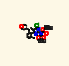 Cc1cccc(CC2CCOCC2)c1-c1nc(N(C(=O)OC(C)(C)C)C(=O)OC(C)(C)C)nc(Cl)c1C